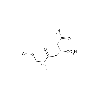 CC(=O)SC[C@@H](C)C(=O)OC(CC(N)=O)C(=O)O